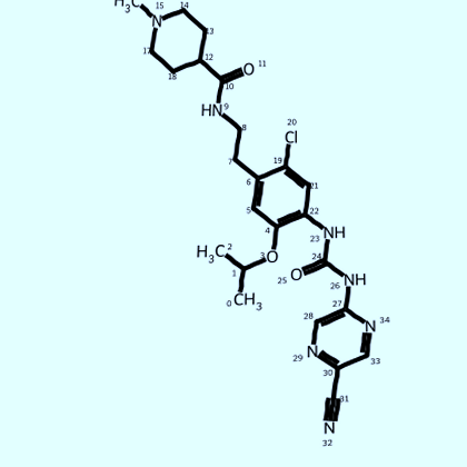 CC(C)Oc1cc(CCNC(=O)C2CCN(C)CC2)c(Cl)cc1NC(=O)Nc1cnc(C#N)cn1